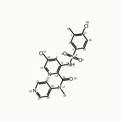 Cc1cc(S(=O)(=O)Nc2cc(Cl)cnc2C(=O)N(C)c2ccncc2)ccc1Cl